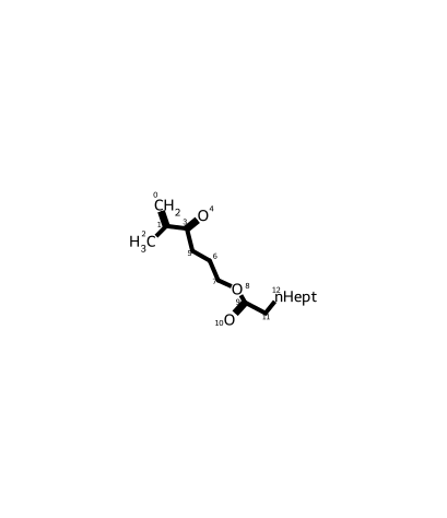 C=C(C)C(=O)CCCOC(=O)CCCCCCCC